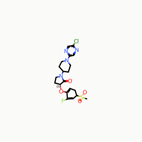 CS(=O)(=O)C1C=C(F)C(O[C@H]2CCN(C3CCN(c4cnc(Cl)cn4)CC3)C2=O)=CC1